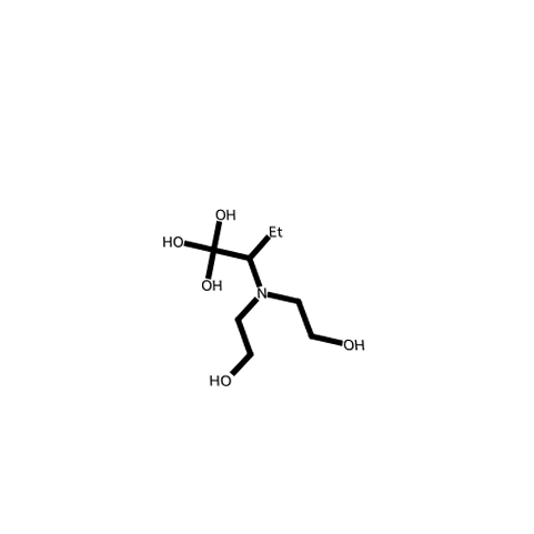 CCC(N(CCO)CCO)C(O)(O)O